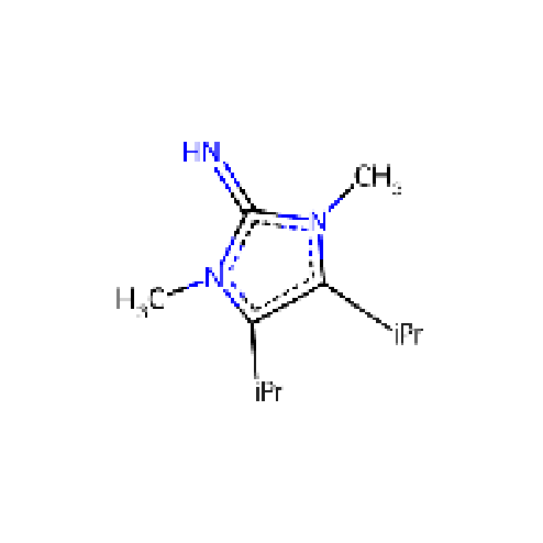 CC(C)c1c(C(C)C)n(C)c(=N)n1C